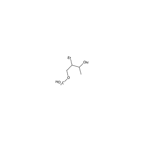 CCC(COC(=O)O)C(C)O